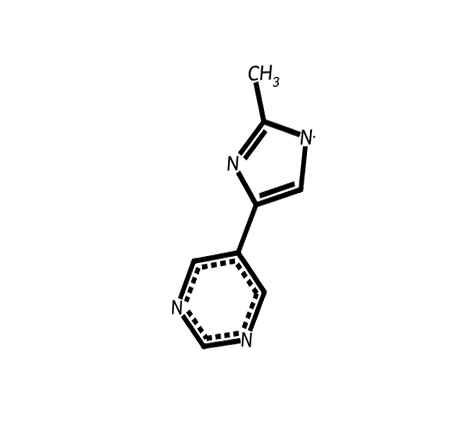 CC1=NC(c2cncnc2)=C[N]1